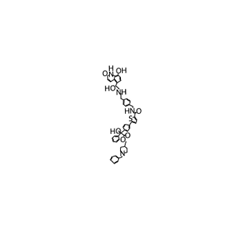 O=C(NCc1ccc(CCNC[C@H](O)c2ccc(O)c3[nH]c(=O)ccc23)cc1)c1ccc(-c2ccc(C(O)(C(=O)OCC3CCN(Cc4ccccc4)CC3)c3ccccc3)cc2)s1